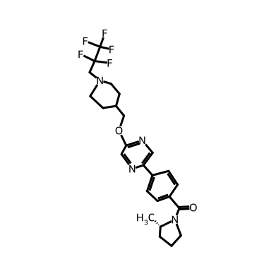 C[C@H]1CCCN1C(=O)c1ccc(-c2cnc(OCC3CCN(CC(F)(F)C(F)(F)F)CC3)cn2)cc1